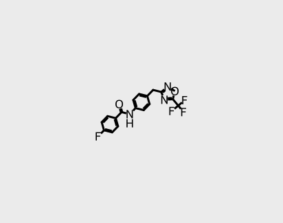 O=C(Nc1ccc(Cc2noc(C(F)(F)F)n2)cc1)c1ccc(F)cc1